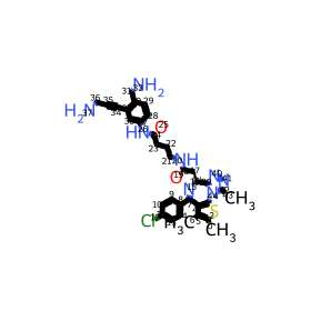 Cc1sc2c(c1C)C(c1ccc(Cl)cc1)=N[C@@H](CC(=O)NCCCC(=O)Nc1ccc(CN)c(C#CCN)c1)c1nnc(C)n1-2